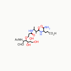 CC(=O)N[C@@H](C=O)[C@@H](OCCC(=O)NC(C)C(C)C(=O)NC(CCC(=O)O)C(N)=O)[C@H](O)[C@H](O)CO